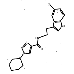 O=C(NCCc1c[nH]c2ccc(Cl)cc12)c1cn(C2CCCCC2)nn1